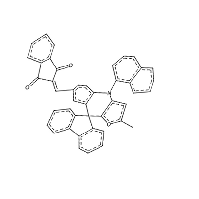 Cc1cc2c(o1)C1(c3ccccc3-c3ccccc31)c1cc(C=C3C(=O)c4ccccc4C3=O)ccc1N2c1cccc2ccccc12